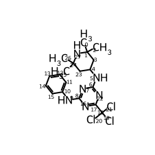 CC1(C)CC(Nc2nc(Nc3ccccc3)nc(C(Cl)(Cl)Cl)n2)CC(C)(C)N1